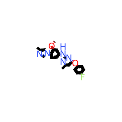 COc1cc(Nc2nc(C)cc(Oc3ccc(F)cc3)n2)ccc1-n1cnc(C)c1